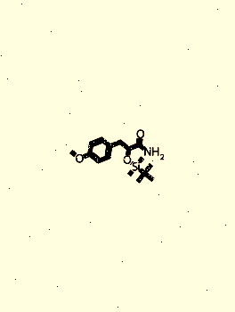 COc1ccc(CC(O[Si](C)(C)C(C)(C)C)C(N)=O)cc1